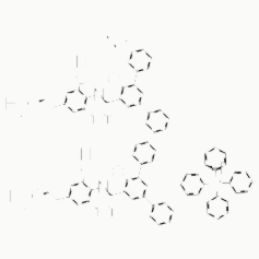 C=CCc1cc(C)c(N=Cc2cc(-c3ccccc3)cc(-c3ccccc3)c2[O-])c(C(C)C)c1.C=CCc1cc(C)c(N=Cc2cc(-c3ccccc3)cc(-c3ccccc3)c2[O-])c(C(C)C)c1.[Ni+2].c1ccc([PH](c2ccccc2)(c2ccccc2)c2ccccc2)cc1